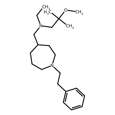 CCN(CC1CCCN(CCc2ccccc2)CC1)CC(C)(C)OC